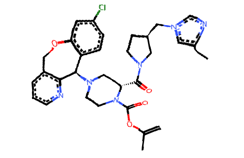 C=C(C)OC(=O)N1CCN([C@@H]2c3ccc(Cl)cc3OCc3cccnc32)C[C@@H]1C(=O)N1CC[C@@H](Cn2cnc(C)c2)C1